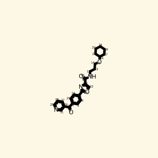 O=C(c1ccc(-c2nc(C(=O)NCCCOC3CCCCC3)co2)cc1)c1cccnc1